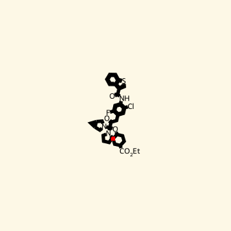 CCOC(=O)C1CCC(OC(C(=O)Cc2cc(Cl)c(NC(=O)c3csc4ccccc34)cc2F)(N2CCCC2)N2CC3CC3C2)CC1